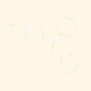 CN1CCC(N2Cc3ccccc3Cc3ccccc32)CC1